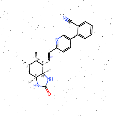 C[C@H]1[C@H](/C=C/c2ccc(-c3ccccc3C#N)cn2)[C@H]2NC(=O)N[C@H]2C[C@@H]1C